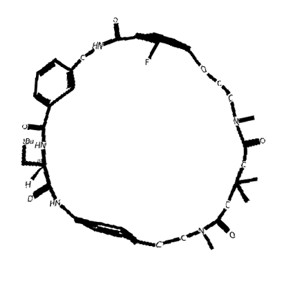 CN1CCOc2ccc(c(F)c2)C(=O)NCc2cccc(c2)C(=O)N[C@@H](CC(C)(C)C)C(=O)Nc2ccc(cc2)CCN(C)C(=O)CC(C)(C)CC1=O